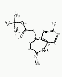 CC(C)(C)OC(=O)CC1CCC(=O)Nc2ccc(Cl)cc21